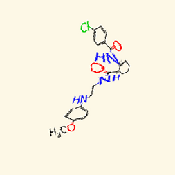 COc1ccc(NCCNC(=O)[C@@H]2CCCC[C@@H]2NC(=O)c2ccc(Cl)cc2)cc1